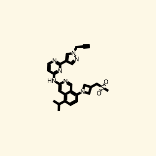 C#CCn1cc(-c2nccc(Nc3cc4c(C(C)C)ccc(N5CC(CS(C)(=O)=O)C5)c4cn3)n2)cn1